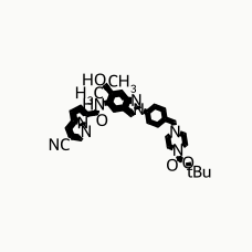 CC(C)(C)OC(=O)N1CCN(CC2CCC(n3cc4cc(NC(=O)c5ccc6cc(C#N)cnn56)c(C(C)(C)O)cc4n3)CC2)CC1